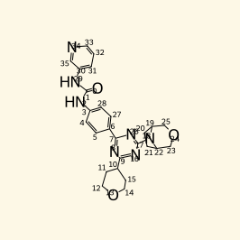 O=C(Nc1ccc(-c2nc(C3CCOCC3)nc(N3C4CCC3COC4)n2)cc1)Nc1cccnc1